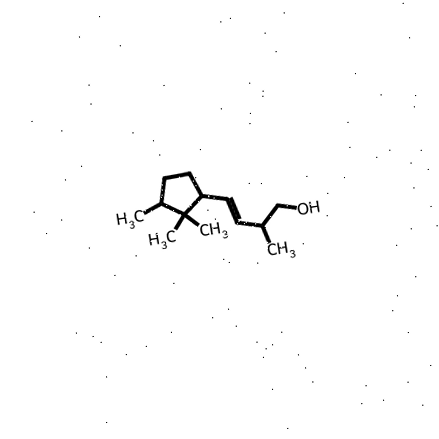 CC(C=CC1CCC(C)C1(C)C)CO